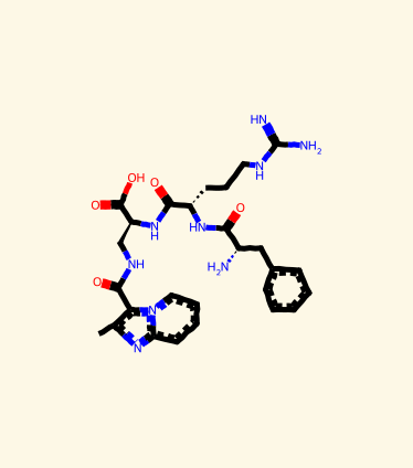 Cc1nc2ccccn2c1C(=O)NC[C@H](NC(=O)[C@H](CCCNC(=N)N)NC(=O)[C@@H](N)Cc1ccccc1)C(=O)O